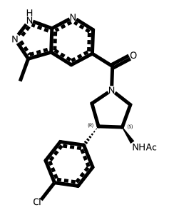 CC(=O)N[C@@H]1CN(C(=O)c2cnc3[nH]nc(C)c3c2)C[C@H]1c1ccc(Cl)cc1